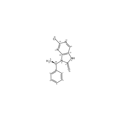 C[C@H](c1ccccc1)n1c(=O)[nH]c2cnc(Cl)nc21